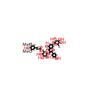 COc1cc(/C=C/C(=O)OCC2O[C@@H](Oc3c(-c4ccc(O)cc4)oc4cc(O[C@@H]5OC(C)[C@H](O)C(O)[C@@H]5O)cc(O)c4c3=O)[C@@H](O)C(O)[C@@H]2O)cc(OC)c1O